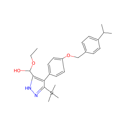 CCOC(O)c1[nH]nc([Si](C)(C)C)c1-c1ccc(OCc2ccc(C(C)C)cc2)cc1